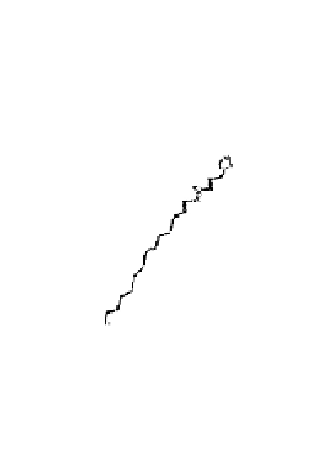 [CH2]CCCCCCCCCCCCCCSCCCCl